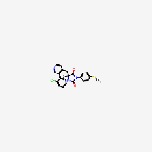 CC1(Cc2ccncc2-c2ccccc2Cl)NC(=O)N(c2ccc(SC(F)(F)F)cc2)C1=O